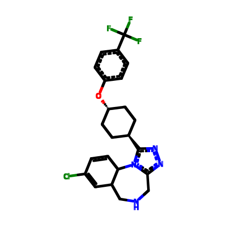 FC(F)(F)c1ccc(O[C@H]2CC[C@H](c3nnc4n3C3C=CC(Cl)=CC3CNC4)CC2)cc1